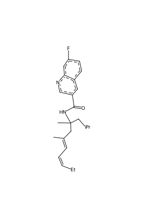 CC/C=C\C=C(/C)CC(C)(CC(C)C)NC(=O)c1cnc2cc(F)ccc2c1